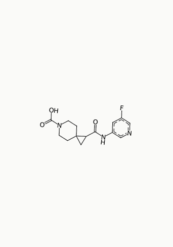 O=C(Nc1cncc(F)c1)C1CC12CCN(C(=O)O)CC2